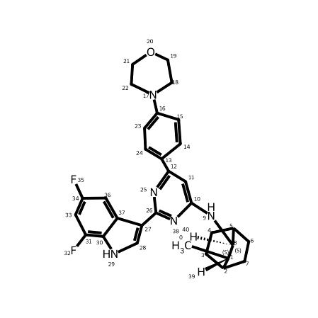 C[C@H]1C2CCC(CC2)[C@@H]1Nc1cc(-c2ccc(N3CCOCC3)cc2)nc(-c2c[nH]c3c(F)cc(F)cc23)n1